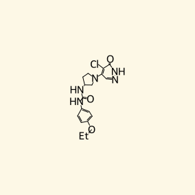 CCOc1ccc(NC(=O)N[C@@H]2CCN(c3cn[nH]c(=O)c3Cl)C2)cc1